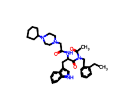 CCc1ccccc1CN(C(C)=O)C(=O)C(Cc1c[nH]c2ccccc12)NC(=O)CN1CCN(C2CCCCC2)CC1